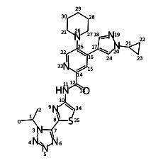 CC(C)n1nnnc1-c1nc(NC(=O)c2cc(-c3cnn(C4CC4)c3)c(N3CCCCC3)cn2)cs1